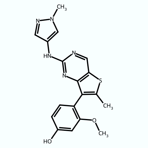 COc1cc(O)ccc1-c1c(C)sc2cnc(Nc3cnn(C)c3)nc12